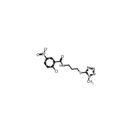 Cn1nnnc1SCCCNC(=O)c1cc([N+](=O)[O-])ccc1Cl